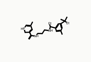 C=C(NCCCNC(CC)c1cc(C)cc(C(C)(C)CC)c1)C1=CC(C)=CPC1